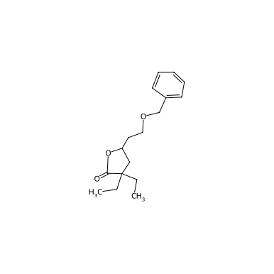 CCC1(CC)CC(CCOCc2ccccc2)OC1=O